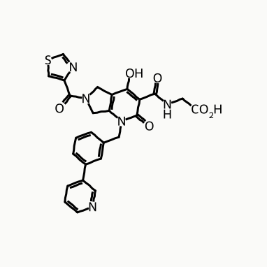 O=C(O)CNC(=O)c1c(O)c2c(n(Cc3cccc(-c4cccnc4)c3)c1=O)CN(C(=O)c1cscn1)C2